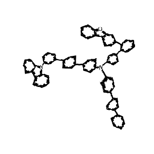 c1ccc(-c2ccc(-c3ccc(N(c4ccc(-c5ccc(-c6cccc(-n7c8ccccc8c8ccccc87)c6)cc5)cc4)c4ccc(-c5ccccc5-c5ccc6c(c5)oc5ccccc56)cc4)cc3)cc2)cc1